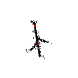 CCP(=O)(O)OCCCCCCNC(=O)CCCC(=O)NC(CCC(=O)NC(CCC(=O)NCCOCCON)C(=O)NCCOCCON)C(=O)NCCOCCON